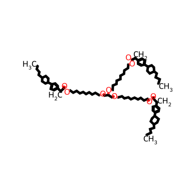 C=C(C(=O)OCCCCCCCCCCOCC(COCCCCCCCCCCOC(=O)C(=C)c1ccc(C2CCC(CCCCC)CC2)cc1)OCCCCCCCCCCOC(=O)C(=C)c1ccc(C2CCC(CCCCC)CC2)cc1)c1ccc(C2CCC(CCCCC)CC2)cc1